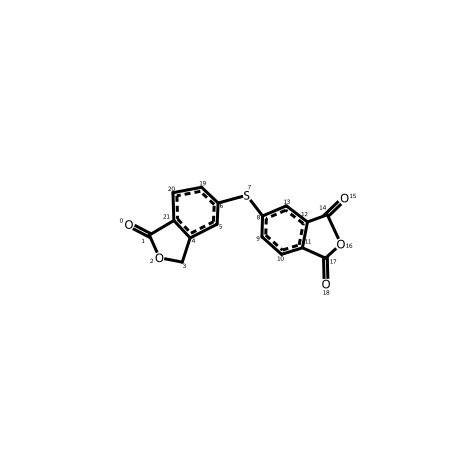 O=C1OCc2cc(Sc3ccc4c(c3)C(=O)OC4=O)ccc21